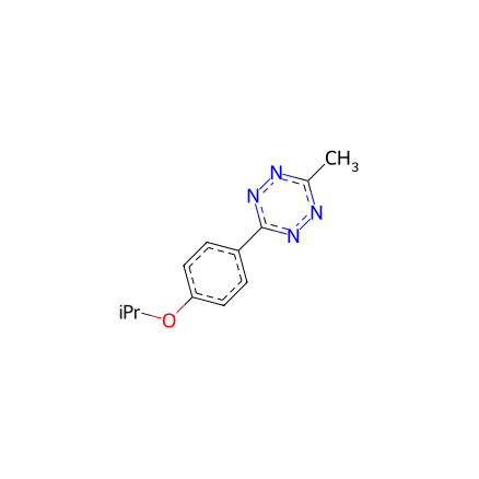 Cc1nnc(-c2ccc(OC(C)C)cc2)nn1